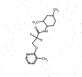 Cc1cccnc1OCC(F)(F)C(=O)NC1CCN(C)CC1C